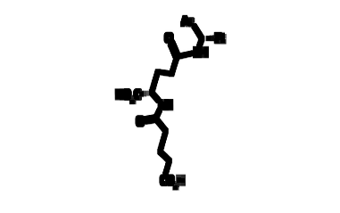 CC[C@H](NC(=O)CC[C@H](NC(=O)CCCC(=O)O)C(=O)O)C(C)=O